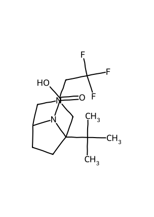 CC(C)(C)C12CCC(CN(CC(F)(F)F)C1)N2C(=O)O